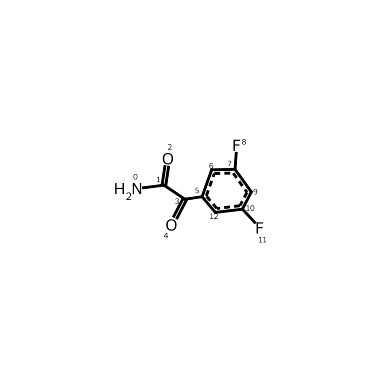 NC(=O)C(=O)c1cc(F)cc(F)c1